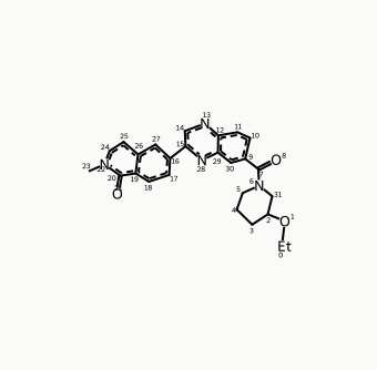 CCOC1CCCN(C(=O)c2ccc3ncc(-c4ccc5c(=O)n(C)ccc5c4)nc3c2)C1